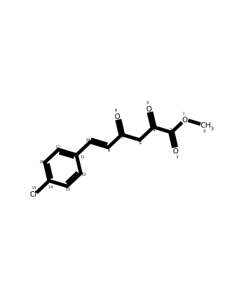 COC(=O)C(=O)CC(=O)C=Cc1ccc(Cl)cc1